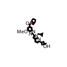 COc1cc(C(=O)N2CC3CCC2[C@@H]3C)cc2nc(-c3cc4ccc(C5CC(C)(O)C5)nc4n3CC3CC3)n(C)c12